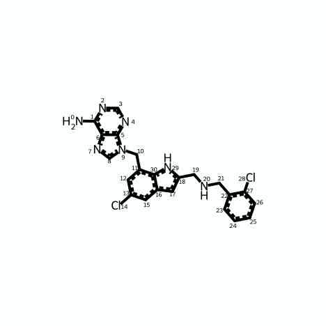 Nc1ncnc2c1ncn2Cc1cc(Cl)cc2cc(CNCc3ccccc3Cl)[nH]c12